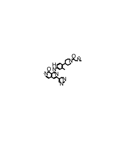 Cc1cc(Nc2nc(-c3cncnc3)cc3c2C(=O)[N]C=C3)ccc1C1CCN(C(=O)CN(C)C)CC1